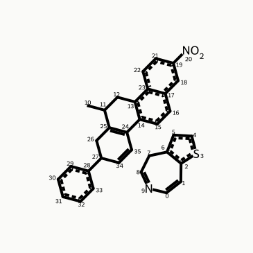 C1=Cc2sccc2CC=N1.CC1Cc2c(ccc3cc([N+](=O)[O-])ccc23)C2=C1CC(c1ccccc1)C=C2